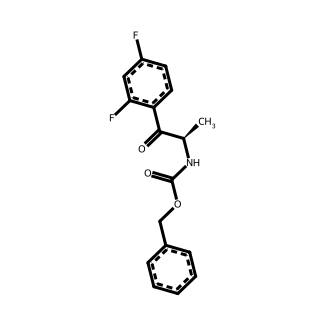 C[C@@H](NC(=O)OCc1ccccc1)C(=O)c1ccc(F)cc1F